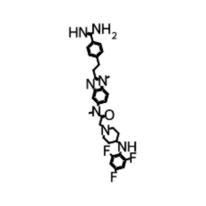 CN(C(=O)CN1CCC(Nc2c(F)cc(F)cc2F)CC1)c1ccc2c(c1)nc(CCc1ccc(C(=N)N)cc1)n2C